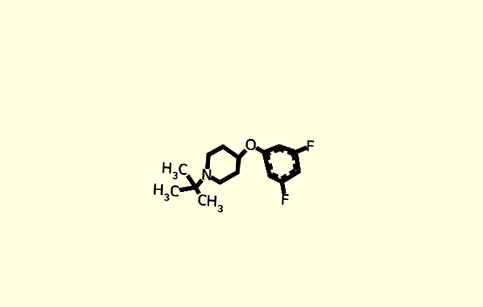 CC(C)(C)N1CCC(Oc2cc(F)cc(F)c2)CC1